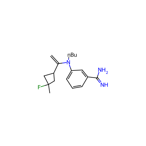 C=C(C1CC(C)(F)C1)N(CCCC)c1cccc(C(=N)N)c1